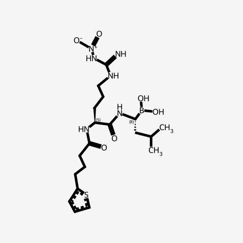 CC(C)C[C@H](NC(=O)[C@H](CCCNC(=N)N[N+](=O)[O-])NC(=O)CCCc1cccs1)B(O)O